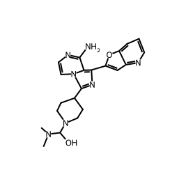 CN(C)C(O)N1CCC(c2nc(-c3cc4ncccc4o3)c3c(N)nccn23)CC1